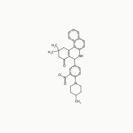 CC1CCN(c2ccc(C3Nc4ccc5ccccc5c4C4=C3C(=O)CC(C)(C)C4)cc2[N+](=O)[O-])CC1